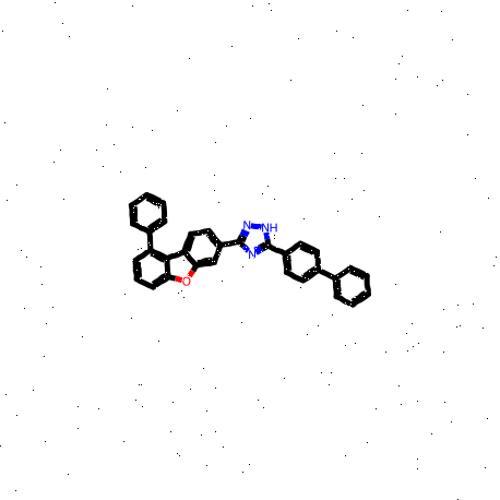 c1ccc(-c2ccc(-c3nc(-c4ccc5c(c4)oc4cccc(-c6ccccc6)c45)n[nH]3)cc2)cc1